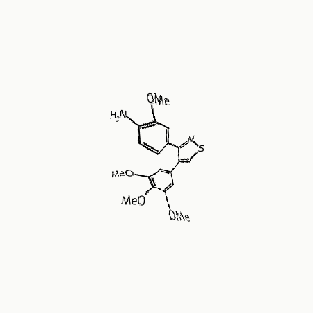 COc1cc(-c2nscc2-c2cc(OC)c(OC)c(OC)c2)ccc1N